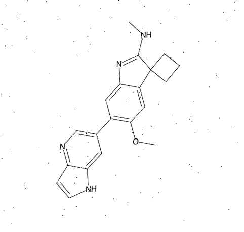 CNC1=Nc2cc(-c3cnc4cc[nH]c4c3)c(OC)cc2C12CCC2